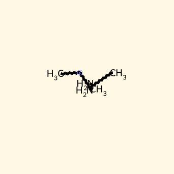 CCCCCCCC/C=C\CCCCCCCC(C)(N)C(N)CCCCCCCCCCC